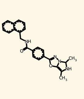 CC1=C2OC(c3ccc(C(=O)NCc4cccc5ccccc45)cc3)=NN2C(C)N1